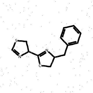 C1=NC(C2=NC(Cc3ccccc3)CO2)CS1